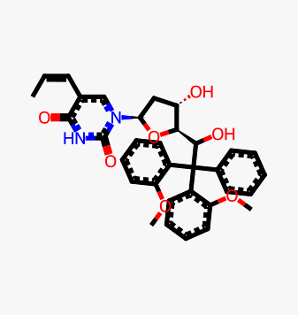 C/C=C\c1cn([C@H]2C[C@H](O)[C@@H](C(O)C(c3ccccc3)(c3ccccc3OC)c3ccccc3OC)O2)c(=O)[nH]c1=O